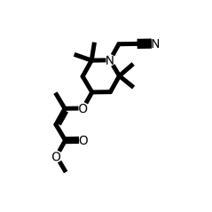 COC(=O)/C=C(/C)OC1CC(C)(C)N(CC#N)C(C)(C)C1